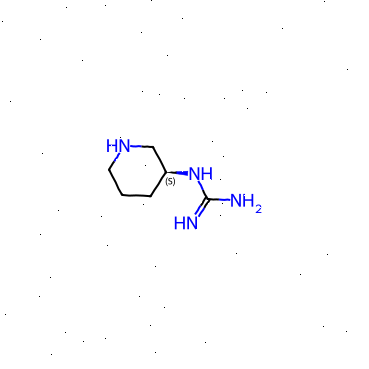 N=C(N)N[C@H]1CCCNC1